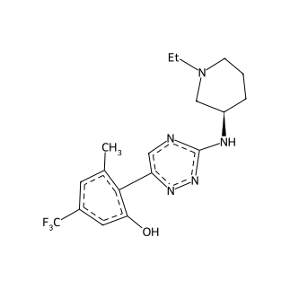 CCN1CCC[C@@H](Nc2ncc(-c3c(C)cc(C(F)(F)F)cc3O)nn2)C1